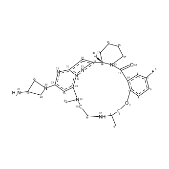 CC1COc2ccc(F)cc2C(=O)N2CCCC[C@H]2c2cc3nc(N4CC(N)C4)cc(n3n2)N(C)CCN1